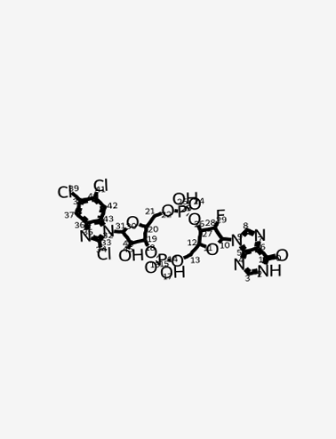 O=c1[nH]cnc2c1ncn2C1OC2COP(=O)(O)OC3C(COP(=O)(O)OC2C1F)OC(n1c(Cl)nc2cc(Cl)c(Cl)cc21)C3O